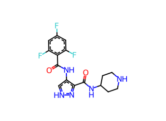 O=C(NC1CCNCC1)c1n[nH]cc1NC(=O)c1c(F)cc(F)cc1F